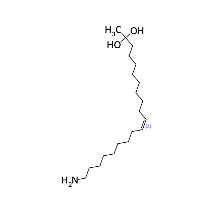 CC(O)(O)CCCCCCCC/C=C\CCCCCCCCN